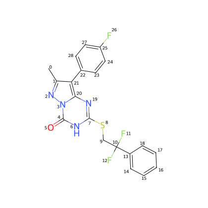 Cc1nn2c(=O)[nH]c(SCC(F)(F)c3ccccc3)nc2c1-c1ccc(F)cc1